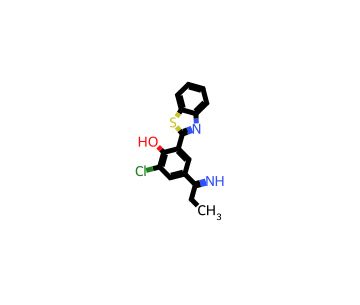 CCC(=N)c1cc(Cl)c(O)c(-c2nc3ccccc3s2)c1